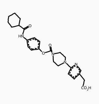 O=C(O)Cc1ccc(N2CCN(C(=O)Oc3ccc(NC(=O)C4CCCCC4)cc3)CC2)nc1